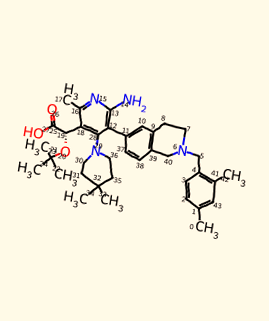 Cc1ccc(CN2CCc3cc(-c4c(N)nc(C)c([C@H](OC(C)(C)C)C(=O)O)c4N4CCC(C)(C)CC4)ccc3C2)c(C)c1